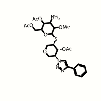 COC1C(S[C@@H]2COC[C@H](n3cc(-c4ccccc4)nn3)[C@H]2OC(C)=O)OC(COC(C)=O)C(OC(C)=O)C1N